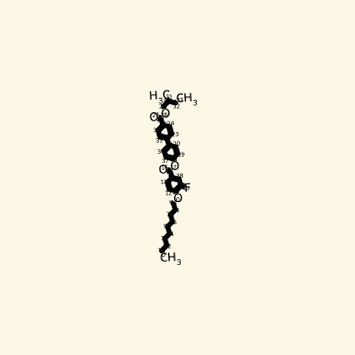 CCCCCCCCCCOc1ccc(C(=O)Oc2ccc(-c3ccc(C(=O)OC[C@@H](C)CC)cc3)cc2)cc1F